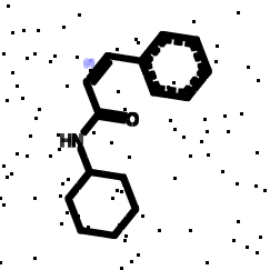 O=C(/C=C\c1ccccc1)NC1CCCCC1